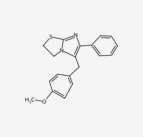 COc1ccc(Cc2c(-c3ccccc3)nc3n2CCS3)cc1